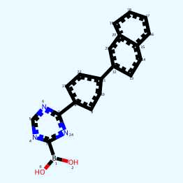 OB(O)c1ncnc(-c2ccc(-c3ccc4ccccc4c3)cc2)n1